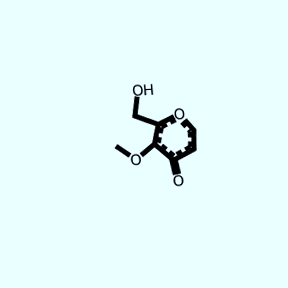 COc1c(CO)occc1=O